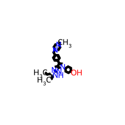 CCC[C@H](CC)Nc1ncc2c(-c3ccc(CN4CCN(C)CC4)cc3)cn(C3CCC(O)CC3)c2n1